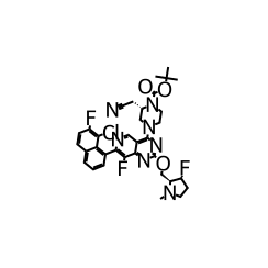 CN1CC[C@H](F)[C@@H]1COc1nc(N2CCN(C(=O)OC(C)(C)C)[C@@H](CC#N)C2)c2cnc(-c3cccc4ccc(F)c(Cl)c34)c(F)c2n1